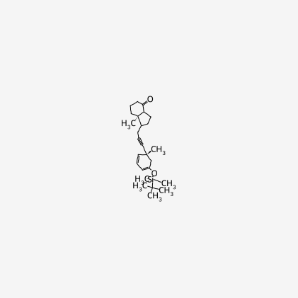 CC(C)(C)[Si](C)(C)OC1=CC=C[C@](C)(C#CCC2CCC3C(=O)CCC[C@]23C)C1